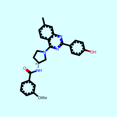 COc1cccc(C(=O)N[C@@H]2CCN(c3nc(-c4ccc(O)cc4)nc4cc(C)ccc34)C2)c1